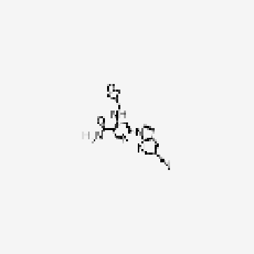 N#Cc1cnc2c(ccn2-c2cc(NCC3COC3)c(C(N)=O)cn2)c1